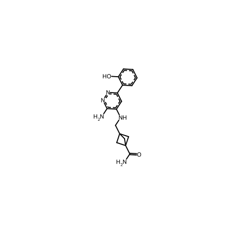 NC(=O)C12CC(CNc3cc(-c4ccccc4O)nnc3N)(C1)C2